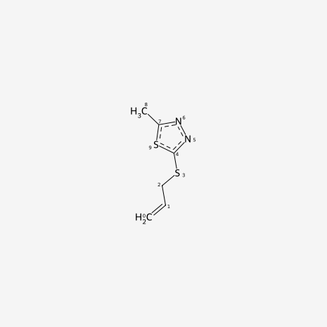 C=CCSc1nnc(C)s1